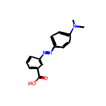 CN(C)c1ccc(N=Nc2cccc(C(=O)O)c2)cc1